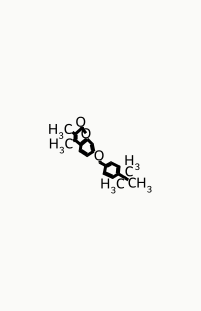 Cc1c(C)c2ccc(OCc3ccc(C(C)(C)C)cc3)cc2oc1=O